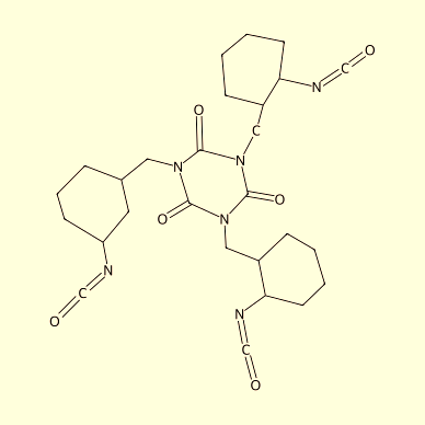 O=C=NC1CCCC(Cn2c(=O)n(CC3CCCCC3N=C=O)c(=O)n(CC3CCCCC3N=C=O)c2=O)C1